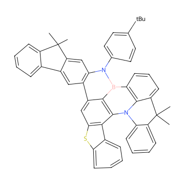 CC(C)(C)c1ccc(N2B3c4cccc5c4N(c4ccccc4C5(C)C)c4c3c(cc3sc5ccccc5c43)-c3cc4c(cc32)C(C)(C)c2ccccc2-4)cc1